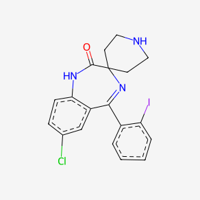 O=C1Nc2ccc(Cl)cc2C(c2ccccc2I)=NC12CCNCC2